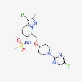 Cc1nn2c(c1Cl)CCC(NS(C)(=O)=O)C2COC1CCN(c2ncc(F)cn2)CC1